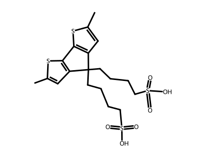 Cc1cc2c(s1)-c1sc(C)cc1C2(CCCCS(=O)(=O)O)CCCCS(=O)(=O)O